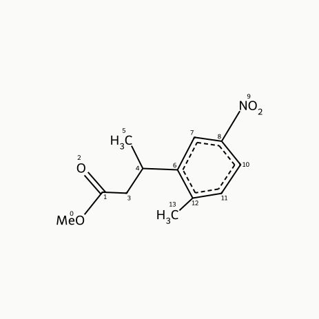 COC(=O)CC(C)c1cc([N+](=O)[O-])ccc1C